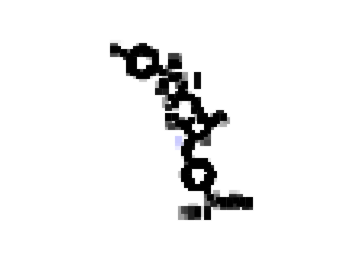 CCCCN(CCCC)c1ccc(/C=C2\SC(=S)N(CC(=O)NS(=O)(=O)c3ccc(F)cc3)C2=O)cc1